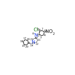 CN(c1ccc([N+](=O)[O-])cc1Cl)C1CCN(Cc2ccccc2)C1